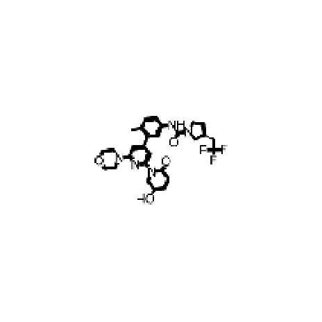 Cc1ccc(NC(=O)N2CC[C@@H](CC(F)(F)F)C2)cc1-c1cc(N2CCOCC2)nc(N2CC(O)CCC2=O)c1